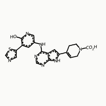 O=C(O)N1CC=C(c2cc3c(Nc4cnc(O)c(-c5cncs5)c4)ncnc3[nH]2)CC1